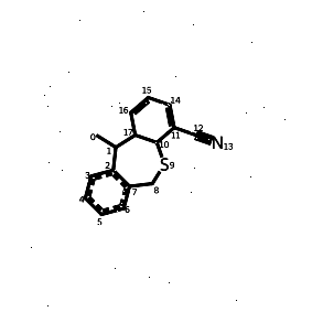 CC1c2ccccc2CSC2C(C#N)=CC=CC21